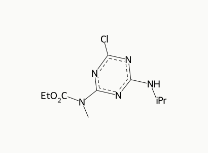 CCOC(=O)N(C)c1nc(Cl)nc(NC(C)C)n1